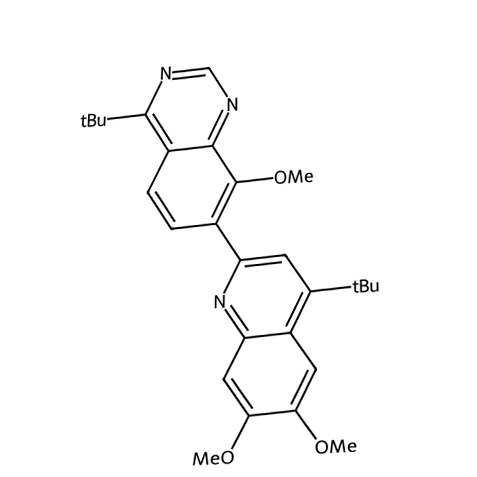 COc1cc2nc(-c3ccc4c(C(C)(C)C)ncnc4c3OC)cc(C(C)(C)C)c2cc1OC